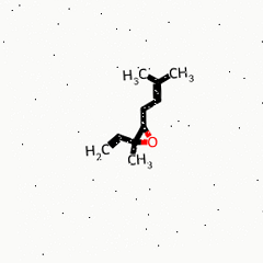 C=CC1(C)OC1CC=C(C)C